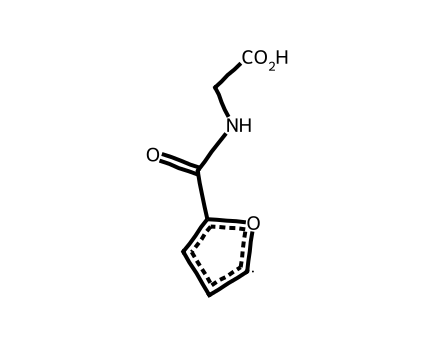 O=C(O)CNC(=O)c1cc[c]o1